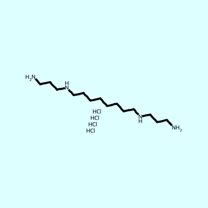 Cl.Cl.Cl.Cl.NCCCNCCCCCCCCNCCCN